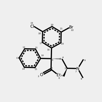 CCC(=O)[C@@](C[C@H](C)N(C)C)(c1ccccc1)c1cc(Cl)cc(Br)c1